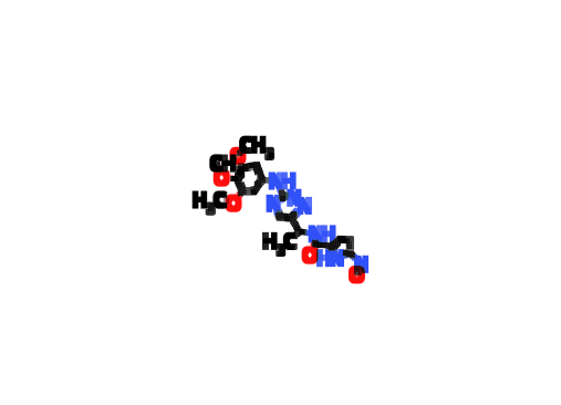 COc1cc(Nc2ncc(C(C)NC(=O)c3ccc(N=O)[nH]3)nn2)cc(OC)c1OC